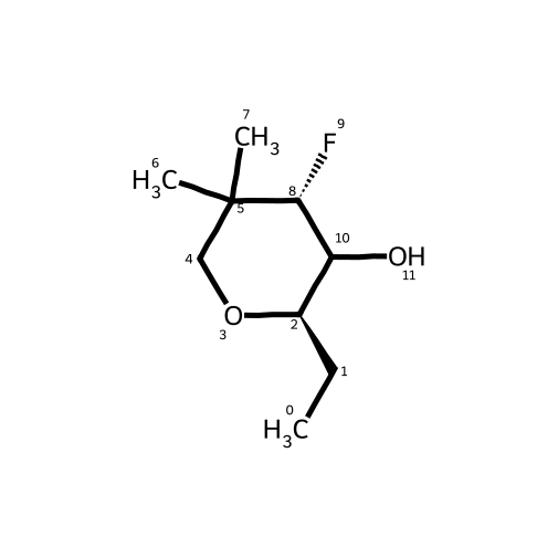 CC[C@H]1OCC(C)(C)[C@H](F)C1O